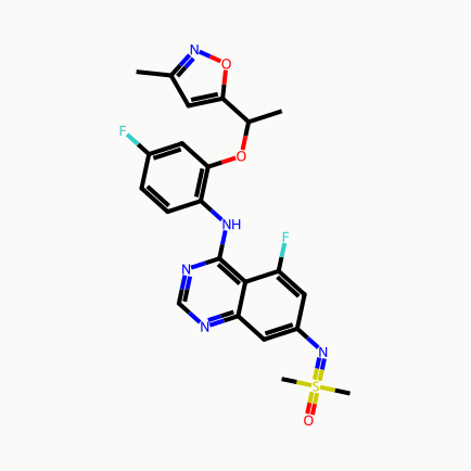 Cc1cc(C(C)Oc2cc(F)ccc2Nc2ncnc3cc(N=S(C)(C)=O)cc(F)c23)on1